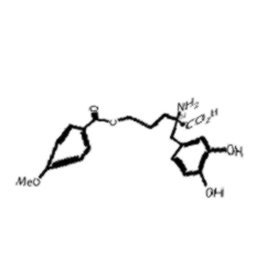 COc1ccc(C(=O)OCCC[C@](N)(Cc2ccc(O)c(O)c2)C(=O)O)cc1